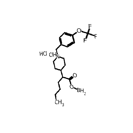 BOC(=O)C(CCCC)C1CCN(Cc2ccc(OC(F)(F)F)cc2)CC1.Cl.Cl